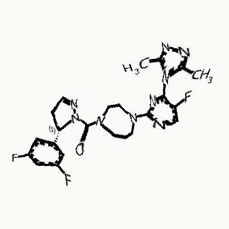 Cc1nnc(C)n1-c1nc(N2CCN(C(=O)N3N=CC[C@H]3c3cc(F)cc(F)c3)CC2)ncc1F